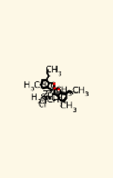 CCCc1cc(C)cc2c1C=C(C)[CH]2[Zr+2]([CH3])([CH3])(=[SiH2])[CH]1C(C)=Cc2c(CCC)cc(C)cc21.[Cl-].[Cl-]